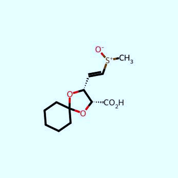 C[S+]([O-])/C=C/[C@H]1OC2(CCCCC2)O[C@H]1C(=O)O